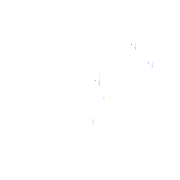 Cc1ncc2c(NC3c4ccc(F)c(O)c4C4(CCCCC4)CC3(O)C(F)(F)F)ccc(F)c2n1